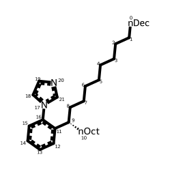 CCCCCCCCCCCCCCCCCC[C@H](CCCCCCCC)c1ccccc1-n1ccnc1